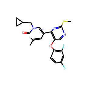 CSc1ncc(Oc2ccc(F)cc2F)c(/C(C=C(C)C)=C/N(C=O)CC2CC2)n1